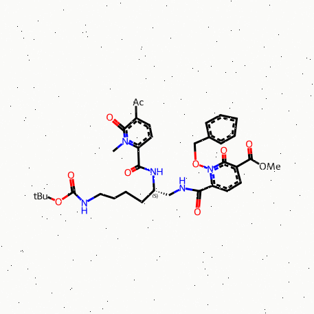 COC(=O)c1ccc(C(=O)NC[C@H](CCCCNC(=O)OC(C)(C)C)NC(=O)c2ccc(C(C)=O)c(=O)n2C)n(OCc2ccccc2)c1=O